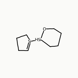 C1=[Si]([SiH]2CCCCO2)CCC1